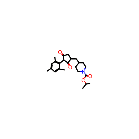 Cc1cc(C)c(C2C(=O)CC(CC3CCN(C(=O)OC(C)C)CC3)C2=O)c(C)c1